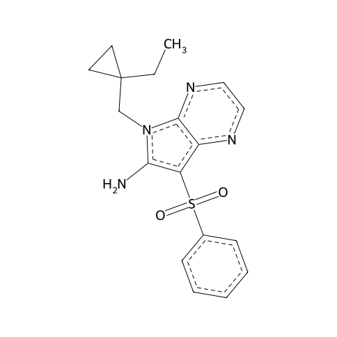 CCC1(Cn2c(N)c(S(=O)(=O)c3ccccc3)c3nccnc32)CC1